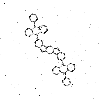 c1ccc(N2c3ccccc3N(c3ccc4sc5cc6c(cc5c4c3)sc3ccc(N4c5ccccc5N(c5ccccc5)c5ccccc54)cc36)c3ccccc32)cc1